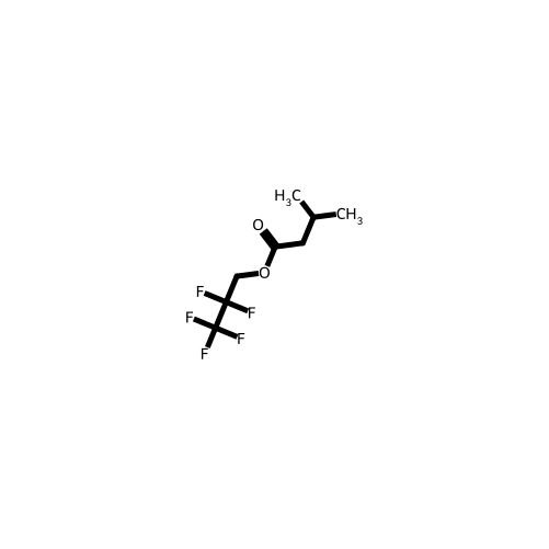 CC(C)CC(=O)OCC(F)(F)C(F)(F)F